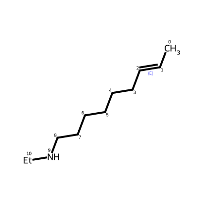 C/C=C/CCCCCCNCC